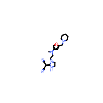 CN(CCN1CCNC1=C(C#N)C#N)c1coc(CN2CCCCC2)c1